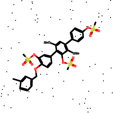 COc1cc(-c2ccc(OS(C)(=O)=O)cc2)c(OC)c(OS(C)(=O)=O)c1-c1ccc(OCc2cccc(C)c2)c(OS(C)(=O)=O)c1